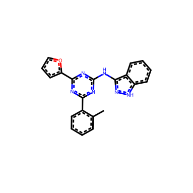 Cc1ccccc1-c1nc(Nc2n[nH]c3ccccc23)nc(-c2ccco2)n1